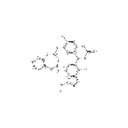 CCn1nnc2c(Cl)c(C(CC(=O)O)c3ccc(C)c(CN4Cc5ccccc5OC(C)(C)C4)c3)ccc21